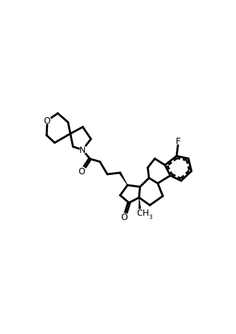 C[C@]12CCC3c4cccc(F)c4CCC3C1[C@H](CCCC(=O)N1CCC3(CCOCC3)C1)CC2=O